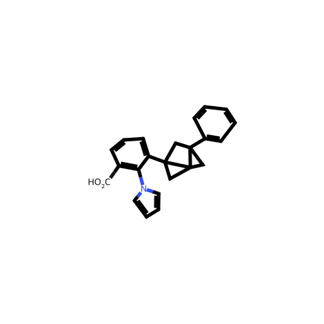 O=C(O)c1cccc(C23CC4(c5ccccc5)CC42C3)c1-n1cccc1